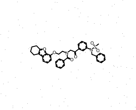 CS(=O)(=O)N(Cc1ccccc1)c1cccc(C(=O)CN(CCOc2cccc3c4c(oc23)CCCC4)C(=O)c2ccccc2)c1